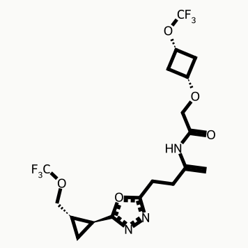 C=C(CCc1nnc([C@H]2C[C@@H]2COC(F)(F)F)o1)NC(=O)CO[C@H]1C[C@@H](OC(F)(F)F)C1